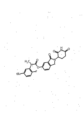 CN(C(=O)Oc1ccc2c(c1)C(=O)N(C1CCC(=O)NC1=O)C2)c1cc(C(C)(C)C)ccc1F